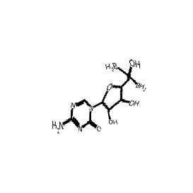 BC(B)(O)C1OC(n2cnc(N)nc2=O)C(O)C1O